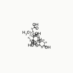 C[C@H](CCC(=O)O)[C@H]1CC[C@H]2C3[C@H](O)CC4C[C@H](O)CCC4(C)[C@H]3C[C@H](O)C12C